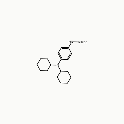 CCCCCCCNc1ccc(N(C2CCCCC2)C2CCCCC2)cc1